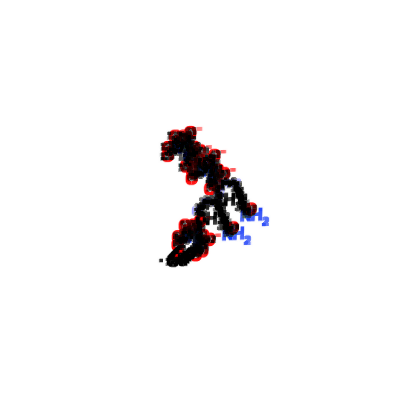 CC/C=C\C/C=C\C/C=C\CCCCCCCC(N)=O.CC/C=C\C/C=C\C/C=C\CCCCCCCC(N)=O.O=C([O-])CN(CCN(CC(=O)[O-])CC(=O)[O-])CCN(CC(=O)[O-])CC(=O)[O-].O=C([O-])CN(CCN(CC(=O)[O-])CC(=O)[O-])CCN(CC(=O)[O-])CC(=O)[O-].O=C([O-])CN(CCN(CC(=O)[O-])CC(=O)[O-])CCN(CC(=O)[O-])CC(=O)[O-].[Gd+3].[Gd+3].[Gd+3].[Gd+3].[Gd+3]